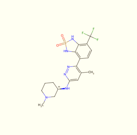 Cc1cc(N[C@@H]2CCCN(C)C2)nnc1-c1ccc(C(F)(F)F)c2c1NS(=O)(=O)N2